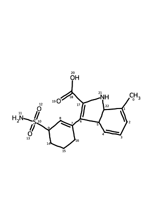 CC1=CC=CC2C(C3=CC(S(N)(=O)=O)CCC3)=C(C(=O)O)NC12